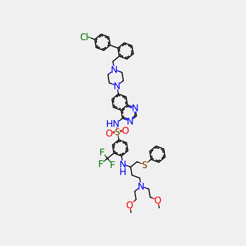 COCCN(CCOC)CCC(CSc1ccccc1)Nc1ccc(S(=O)(=O)Nc2ncnc3cc(N4CCN(Cc5ccccc5-c5ccc(Cl)cc5)CC4)ccc23)cc1C(F)(F)F